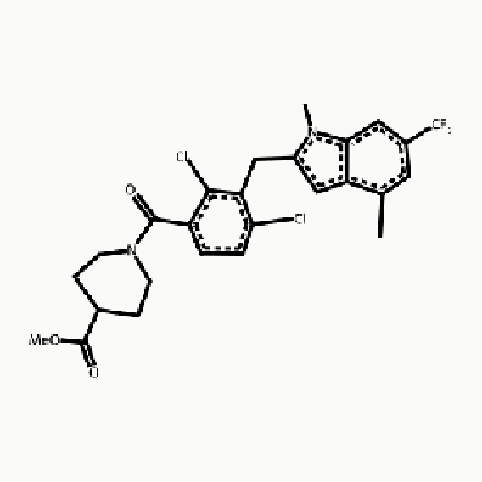 COC(=O)C1CCN(C(=O)c2ccc(Cl)c(Cc3cc4c(C)cc(C(F)(F)F)cc4n3C)c2Cl)CC1